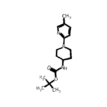 Cc1ccc(N2CCC(NC(=O)OC(C)(C)C)CC2)nc1